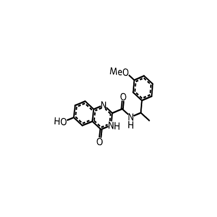 COc1cccc(C(C)NC(=O)c2nc3ccc(O)cc3c(=O)[nH]2)c1